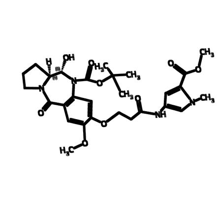 COC(=O)c1cc(NC(=O)CCOc2cc3c(cc2OC)C(=O)N2CCC[C@H]2[C@H](O)N3C(=O)OC(C)(C)C)cn1C